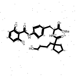 COC(=O)[C@H](Cc1ccc(NC(=O)c2c(Cl)cccc2Cl)cc1)NC(=O)C1(CCCCO)CCCC1